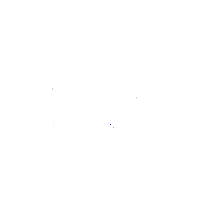 Nc1ncc(I)c(Cl)c1C=O